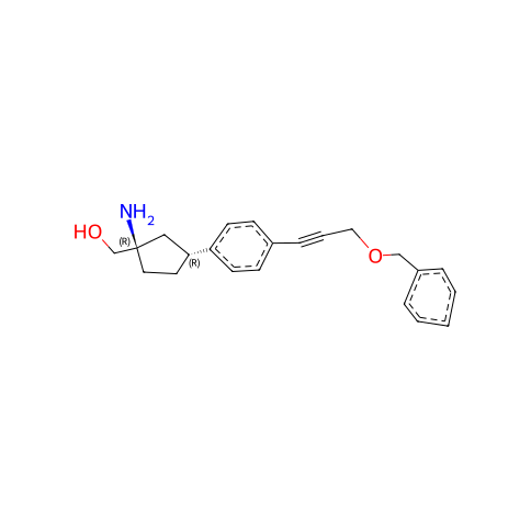 N[C@]1(CO)CC[C@@H](c2ccc(C#CCOCc3ccccc3)cc2)C1